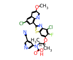 COc1cnc2c(-c3nc4c(Cl)c(F)c(O[C@@H](C)[C@@H](C)N(C(=O)O)c5cncc(C#N)c5)cc4s3)cc(Cl)cc2c1